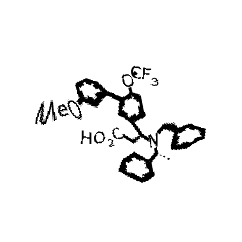 COc1cccc(-c2cc([C@H](CC(=O)O)N(Cc3ccccc3)[C@H](C)c3ccccc3)ccc2OC(F)(F)F)c1